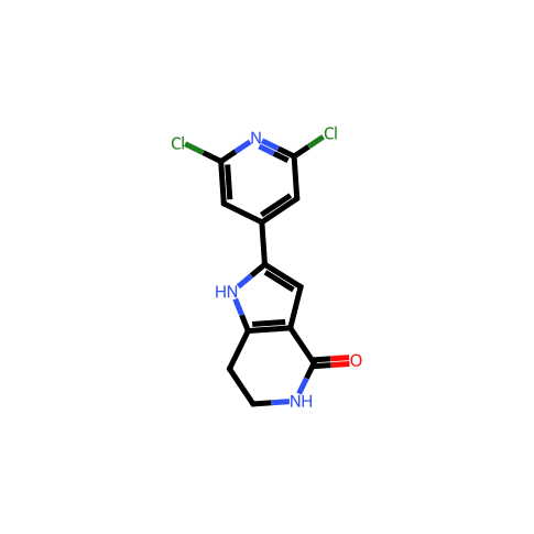 O=C1NCCc2[nH]c(-c3cc(Cl)nc(Cl)c3)cc21